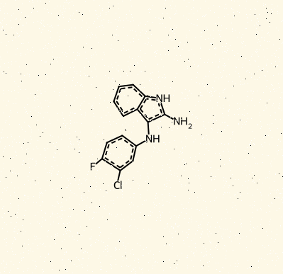 Nc1[nH]c2ccccc2c1Nc1ccc(F)c(Cl)c1